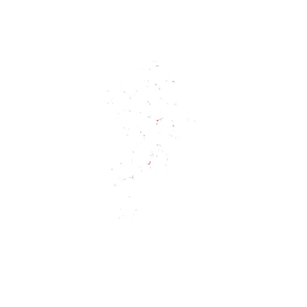 CC(C)(C)c1ccc(N(c2ccc3c(c2)C(C)(C)c2cc4ccccc4cc2-3)c2ccc3ccccc3c2-c2cccc3c2sc2ccccc23)c(-c2ccccc2)c1